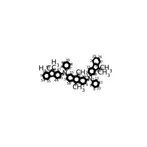 Cc1c2ccc(N(c3ccccc3)c3ccc4c(c3)C(C)(C)C3=C4CCC=C3)cc2c(C)c2cc(N(c3ccccc3)c3ccc4c(c3)C(C)(C)c3ccccc3-4)ccc12